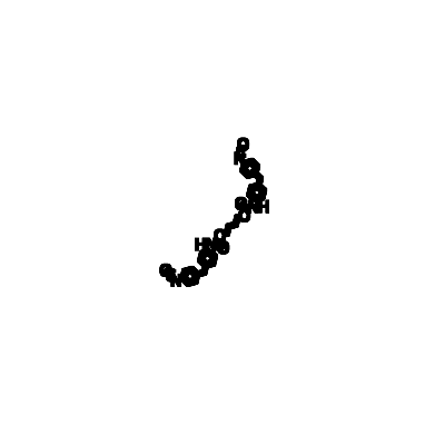 O=C=Nc1ccc(Cc2ccc(NC(=O)OCCCCOC(=O)Nc3ccc(Cc4ccc(N=C=O)cc4)cc3)cc2)cc1